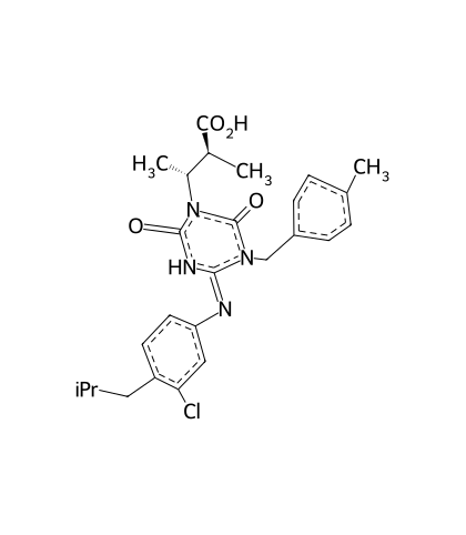 Cc1ccc(Cn2c(=O)n([C@H](C)[C@H](C)C(=O)O)c(=O)[nH]/c2=N\c2ccc(CC(C)C)c(Cl)c2)cc1